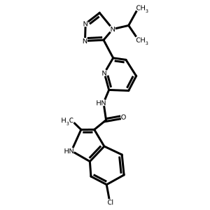 Cc1[nH]c2cc(Cl)ccc2c1C(=O)Nc1cccc(-c2nncn2C(C)C)n1